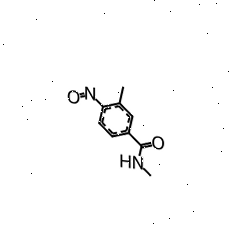 CNC(=O)c1ccc(N=O)c(C)c1